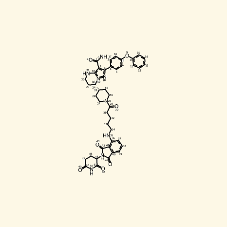 NC(=O)c1c(-c2ccc(Oc3ccccc3)cc2)nn2c1NCC[C@H]2C1CCN(C(=O)CCCCNc2cccc3c2C(=O)N(C2CCC(=O)NC2=O)C3=O)CC1